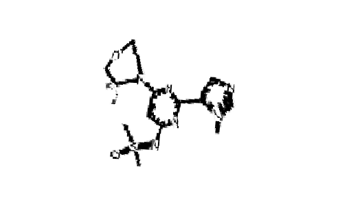 C[C@@H]1COCCN1c1cc(N=S(C)(C)=O)nc(-c2cncn2C)n1